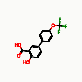 O=C(O)c1cc(-c2ccc(OC(F)(F)F)cc2)ccc1O